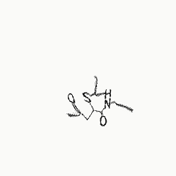 CCNC(=O)C(CC(C)=O)SC(C)C